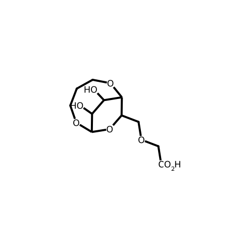 O=C(O)COCC1OC2OCCCOC1C(O)C2O